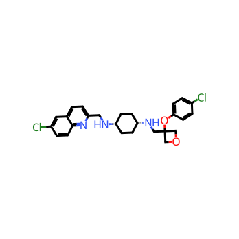 Clc1ccc(OC2(CN[C@H]3CC[C@H](NCc4ccc5cc(Cl)ccc5n4)CC3)COC2)cc1